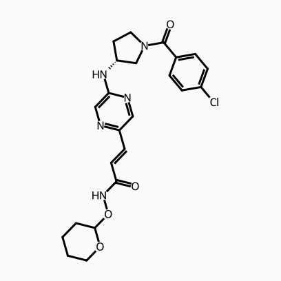 O=C(C=Cc1cnc(N[C@@H]2CCN(C(=O)c3ccc(Cl)cc3)C2)cn1)NOC1CCCCO1